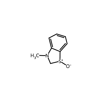 CN1C[S+]([O-])c2ccccc21